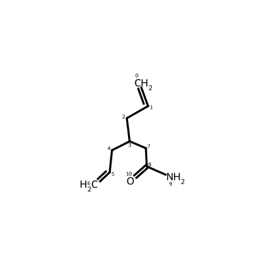 C=CCC(CC=C)CC(N)=O